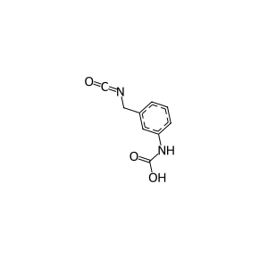 O=C=NCc1cccc(NC(=O)O)c1